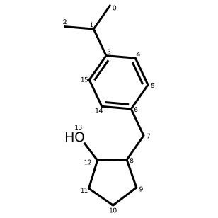 CC(C)c1ccc(CC2CCCC2O)cc1